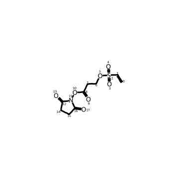 C=CS(=O)(=O)OCCC(=O)ON1C(=O)CCC1=O